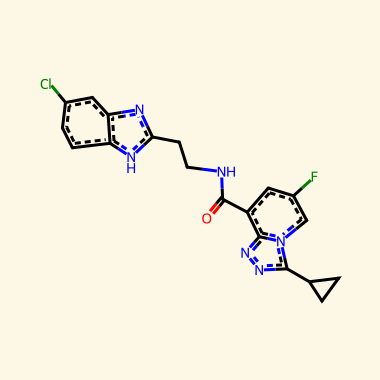 O=C(NCCc1nc2cc(Cl)ccc2[nH]1)c1cc(F)cn2c(C3CC3)nnc12